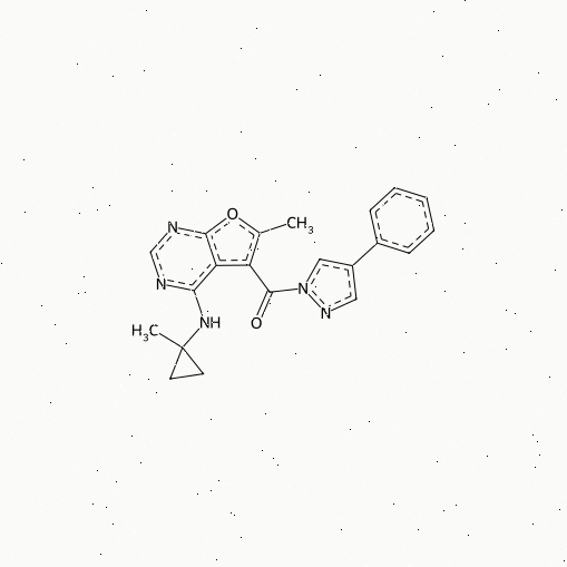 Cc1oc2ncnc(NC3(C)CC3)c2c1C(=O)n1cc(-c2ccccc2)cn1